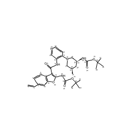 C=Cc1cnc2c(C(=O)Nc3cnccc3N3C[C@H](C)C[C@H](NC(=O)OC(C)(C)C)C3)c(NC(=O)OC(C)(C)C)oc2c1